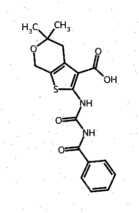 CC1(C)Cc2c(sc(NC(=O)NC(=O)c3ccccc3)c2C(=O)O)CO1